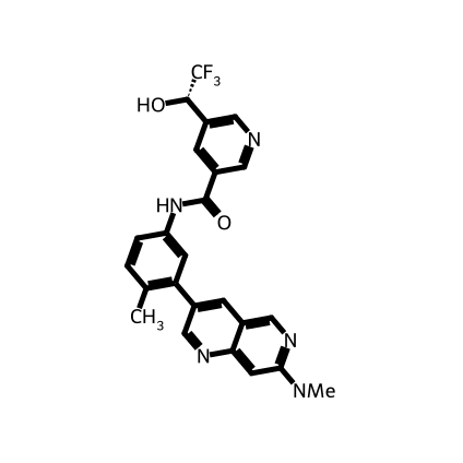 CNc1cc2ncc(-c3cc(NC(=O)c4cncc([C@H](O)C(F)(F)F)c4)ccc3C)cc2cn1